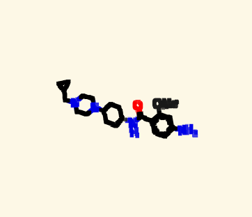 COc1cc(N)ccc1C(=O)N[C@H]1CC[C@H](N2CCN(CC3CC3)CC2)CC1